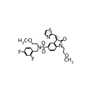 COCCN1C(=O)/C(=C/c2nccs2)c2cc(S(=O)(=O)N(CCOC)Cc3ccc(F)cc3F)ccc21